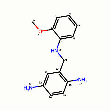 COc1ccccc1NCc1cc(N)ccc1N